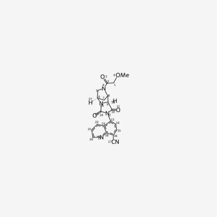 COCC(=O)N1C[C@H]2CC1[C@H]1C(=O)N(c3ccc(C#N)c4ncccc34)C(=O)N21